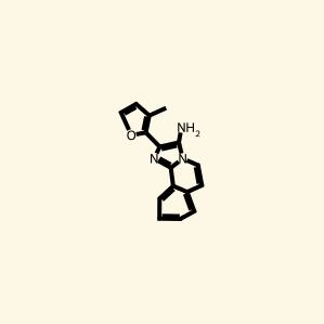 Cc1ccoc1-c1nc2c3ccccc3ccn2c1N